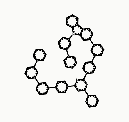 c1ccc(-c2cccc(-c3cccc(-c4ccc(-c5cc(-c6ccccc6)nc(-c6ccc(-c7cccc(-c8ccc9c%10ccccc%10n(-c%10cccc(-c%11ccccc%11)c%10)c9c8)c7)cc6)n5)cc4)c3)c2)cc1